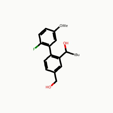 COc1ccc(F)c(-c2ccc(CO)cc2C(O)C(C)(C)C)c1